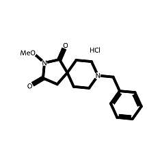 CON1C(=O)CC2(CCN(Cc3ccccc3)CC2)C1=O.Cl